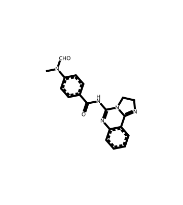 CN(C=O)c1ccc(C(=O)NC2=Nc3ccccc3C3=NCCN23)cc1